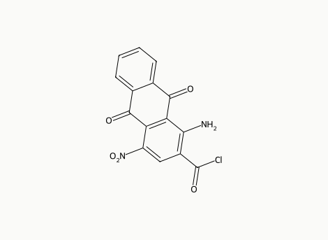 Nc1c(C(=O)Cl)cc([N+](=O)[O-])c2c1C(=O)c1ccccc1C2=O